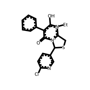 CCn1c(O)c(-c2ccccc2)c(=O)[n+]2c1CSC2c1ccc(Cl)nc1